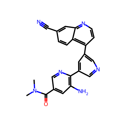 CN(C)C(=O)c1cnc(-c2cncc(-c3ccnc4cc(C#N)ccc34)c2)c(N)c1